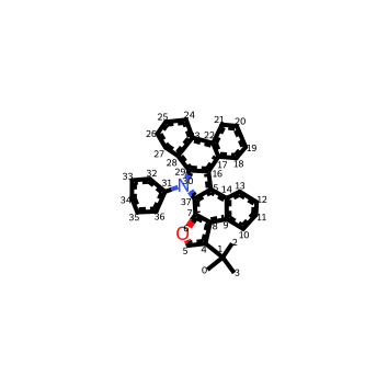 CC(C)(C)c1coc2c1c1ccccc1c1c3c4ccccc4c4ccccc4c3n(-c3ccccc3)c21